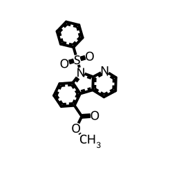 COC(=O)c1cccc2c1c1cccnc1n2S(=O)(=O)c1ccccc1